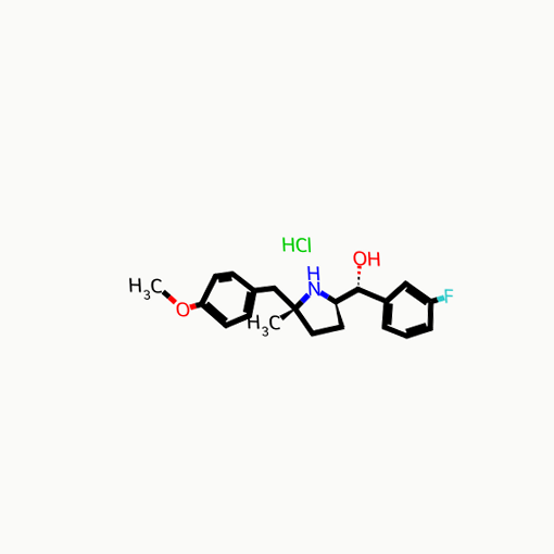 COc1ccc(C[C@@]2(C)CC[C@H]([C@H](O)c3cccc(F)c3)N2)cc1.Cl